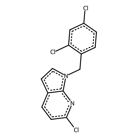 Clc1ccc(Cn2ccc3ccc(Cl)nc32)c(Cl)c1